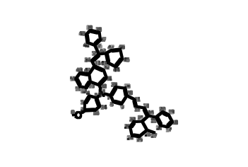 COc1ccc(N(c2ccc(/C=C/C=C(/c3ccccc3)C3C=CC=CC3C)cc2)c2ccc(C=C(c3ccccc3)c3ccccc3)c3ccccc23)cc1